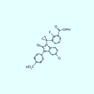 COC(=O)c1cccc(C2(n3c(=O)n(-c4ccc(C(=O)O)cc4)c4cc(Cl)ccc43)CC2)c1F